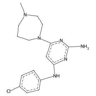 CN1CCCN(c2cc(Nc3ccc(Cl)cc3)nc(N)n2)CC1